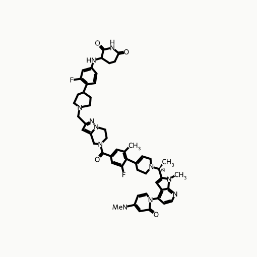 CNc1ccn(-c2ccnc3c2cc([C@H](C)N2CC=C(c4c(C)cc(C(=O)N5CCn6nc(CN7CCC(c8ccc(NC9CCC(=O)NC9=O)cc8F)CC7)cc6C5)cc4F)CC2)n3C)c(=O)c1